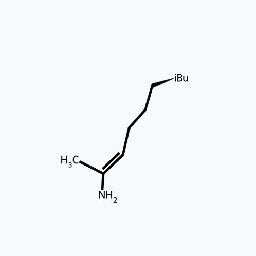 CC[C@H](C)CCC/C=C(\C)N